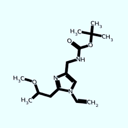 C=Cn1cc(CNC(=O)OC(C)(C)C)nc1CC(C)OC